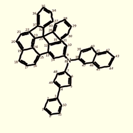 c1ccc(-c2ccc(N(c3ccc4c(c3)-c3cccc5ccc6c(c35)C4(c3ccccc3)c3ccccc3-6)c3ccc4ccccc4c3)cc2)cc1